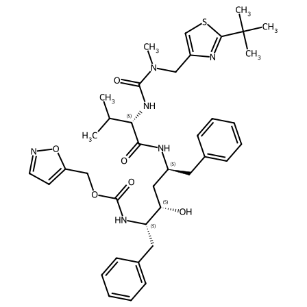 CC(C)[C@H](NC(=O)N(C)Cc1csc(C(C)(C)C)n1)C(=O)N[C@@H](Cc1ccccc1)C[C@H](O)[C@H](Cc1ccccc1)NC(=O)OCc1ccno1